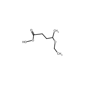 CCOC(C)CCC(=O)OO